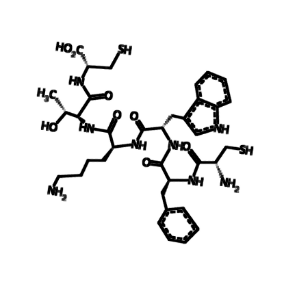 C[C@@H](O)[C@H](NC(=O)[C@H](CCCCN)NC(=O)[C@H](Cc1c[nH]c2ccccc12)NC(=O)[C@H](Cc1ccccc1)NC(=O)[C@@H](N)CS)C(=O)N[C@@H](CS)C(=O)O